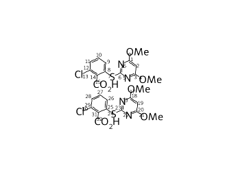 COc1cc(OC)nc(Sc2cccc(Cl)c2C(=O)O)n1.COc1cc(OC)nc(Sc2cccc(Cl)c2C(=O)O)n1